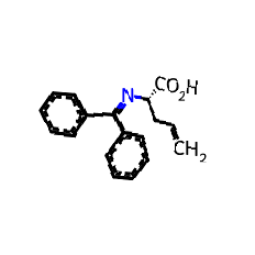 C=CC[C@H](N=C(c1ccccc1)c1ccccc1)C(=O)O